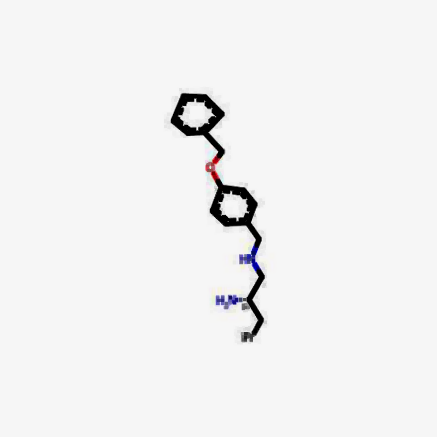 CC(C)C[C@H](N)CNCc1ccc(OCc2ccccc2)cc1